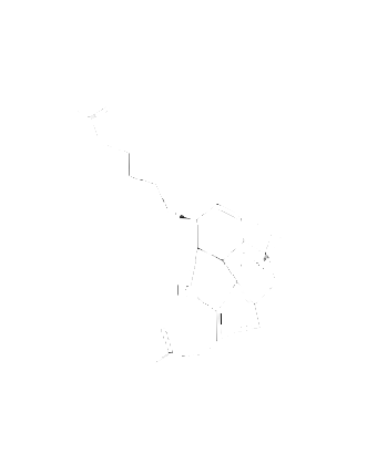 CC(=O)OCCCO[C@H]1C=C[C@H]2[C@H]3Cc4ccc(OC(C)=O)c5c4[C@@]2(CCN3C)[C@H]1O5